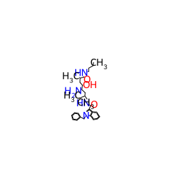 CCCCNC(=O)C(C)CC(O)C(N)CC(CNC(=O)c1cn(Cc2ccccc2)c2ccccc12)C(C)C